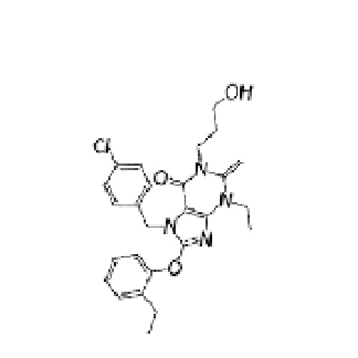 C=C1N(CCCO)C(=O)c2c(nc(Oc3ccccc3CC)n2Cc2ccc(Cl)cc2)N1CC